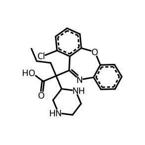 CCCC(C(=O)O)(C1=Nc2ccccc2Oc2cccc(Cl)c21)C1CNCCN1